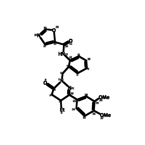 CCC1CC(=O)N(Cc2ccccc2NC(=O)c2cnco2)N=C1c1ccc(OC)c(OC)c1